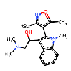 Cc1onc(C(C)(C)C)c1-c1c(C(O)CN(C)C)c2ccccc2n1C